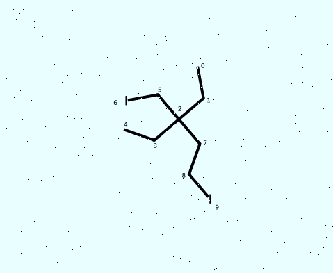 CCC(CC)(CI)CCI